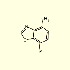 Cc1ccc(C(C)C)c2ocnc12